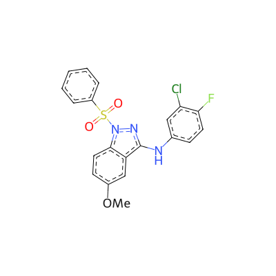 COc1ccc2c(c1)c(Nc1ccc(F)c(Cl)c1)nn2S(=O)(=O)c1ccccc1